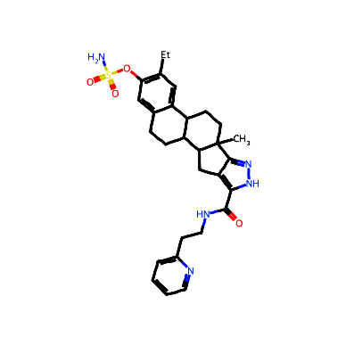 CCc1cc2c(cc1OS(N)(=O)=O)CCC1C2CCC2(C)c3n[nH]c(C(=O)NCCc4ccccn4)c3CC12